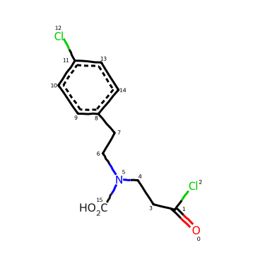 O=C(Cl)CCN(CCc1ccc(Cl)cc1)C(=O)O